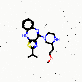 COCCC1CN(C2=Nc3ccccc3Nc3sc(C(C)C)nc32)CCN1